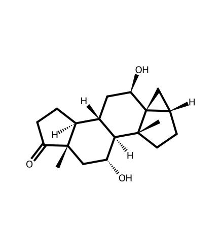 C[C@]12C[C@@H](O)[C@H]3[C@@H](C[C@@H](O)[C@]45C[C@@H]4CC[C@]35C)[C@@H]1CCC2=O